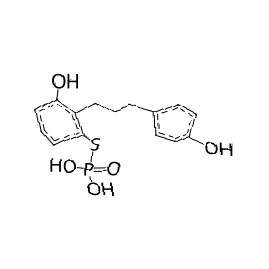 O=P(O)(O)Sc1cccc(O)c1CCCc1ccc(O)cc1